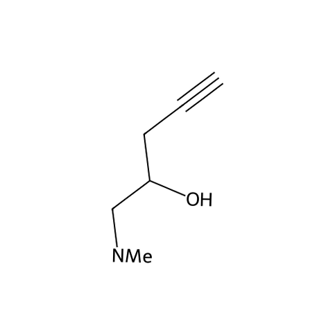 C#CCC(O)CNC